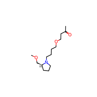 COC[C@@H]1CCCN1CCCCOCCC(C)=O